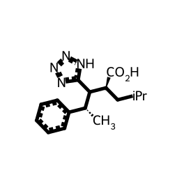 CC(C)C[C@H](C(=O)O)C(c1nnn[nH]1)[C@H](C)c1ccccc1